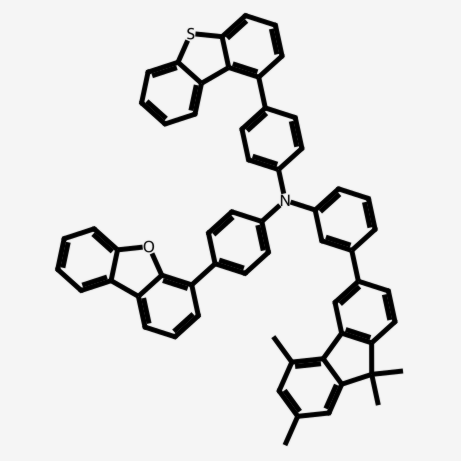 Cc1cc(C)c2c(c1)C(C)(C)c1ccc(-c3cccc(N(c4ccc(-c5cccc6c5oc5ccccc56)cc4)c4ccc(-c5cccc6sc7ccccc7c56)cc4)c3)cc1-2